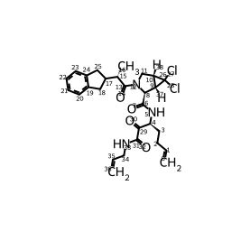 C=CCC[C@H](NC(=O)[C@@H]1[C@@H]2[C@H](CN1C(=O)[C@@H](C)C1Cc3ccccc3C1)C2(Cl)Cl)C(=O)C(=O)NCC=C